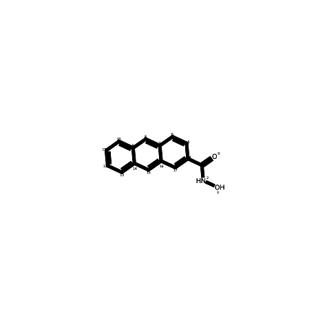 O=C(NO)c1ccc2cc3ccccc3cc2c1